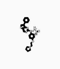 N[SH](=O)=O.c1ccc(-c2csc3cnc(Nc4ccc(OCCN5CCCC5)cc4)nc23)cc1